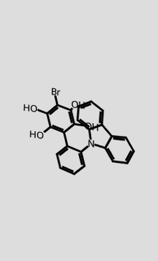 Oc1c(O)c(-c2ccccc2-n2c3ccccc3c3ccccc32)c(O)c(O)c1Br